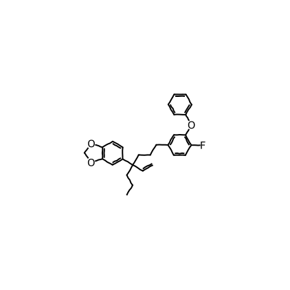 C=CC(CCC)(CCCc1ccc(F)c(Oc2ccccc2)c1)c1ccc2c(c1)OCO2